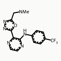 CNCc1nnc(-c2nccnc2Nc2ccc(C(F)(F)F)cc2)o1